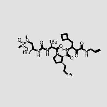 C=CCNC(=O)C(=O)C(CC1CCC1)NC(=O)[C@@H]1[C@@H](CCC(C)C)CCN1C(=O)[C@@H](NC(=O)N[C@H](CN(C)S(C)(=O)=O)C(C)(C)C)C(C)(C)C